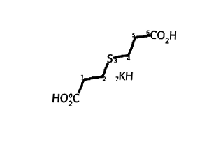 O=C(O)CCSCCC(=O)O.[KH]